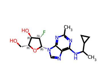 Cc1nc(NC(C)C2CC2)c2ncn([C@@H]3O[C@H](CO)[C@@H](O)[C@@H]3F)c2n1